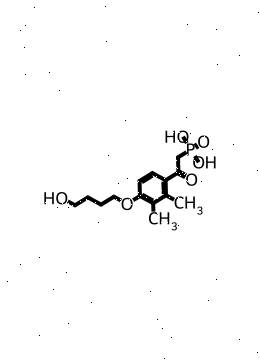 Cc1c(OCCCCO)ccc(C(=O)CP(=O)(O)O)c1C